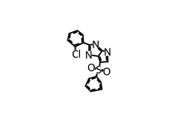 O=S(=O)(C1=C2N=C(c3ccccc3Cl)N=C2N=C1)c1ccccc1